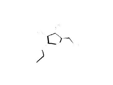 CCO[C@H]1O[C@H](CO)[C@@H](O)[C@H]1O